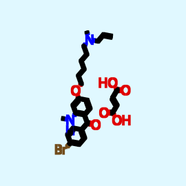 C=CCN(C)CCCCCCOc1ccc(C(=O)c2ccc(Br)cc2)c(NC)c1.O=C(O)C=CC(=O)O